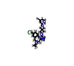 Cc1ccnc(N2CC3(C2)CN(c2nnc4n2-c2ccc(Cl)cc2CN(C2CC2)C4)C3)c1